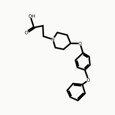 O=C(O)CCN1CCC(Oc2ccc(Oc3ccccc3)cc2)CC1